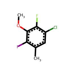 COc1c(F)c(Cl)cc(C)c1I